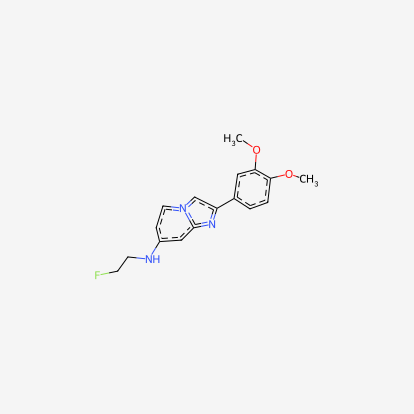 COc1ccc(-c2cn3ccc(NCCF)cc3n2)cc1OC